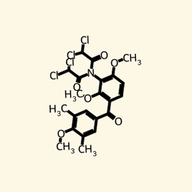 COc1ccc(C(=O)c2cc(C)c(OC)c(C)c2)c(OC)c1N(C(=O)C(Cl)Cl)C(=O)C(Cl)Cl